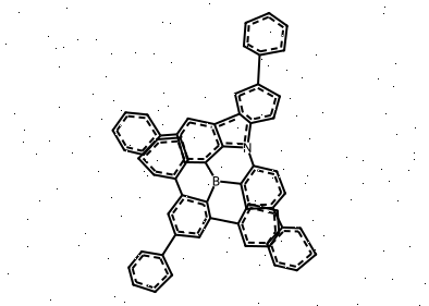 c1ccc(-c2ccc3c(c2)B(c2c(-c4ccccc4)cc(-c4ccccc4)cc2-c2ccccc2)c2cc(-c4ccccc4)cc4c5cc(-c6ccccc6)ccc5n-3c24)cc1